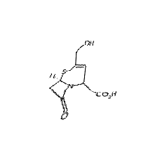 O=C(O)C1C=C(CO)S[C@@H]2CC(=O)N12